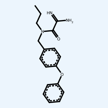 CCCN(Cc1ccc(Oc2ccccc2)cc1)C(=O)C(=N)N